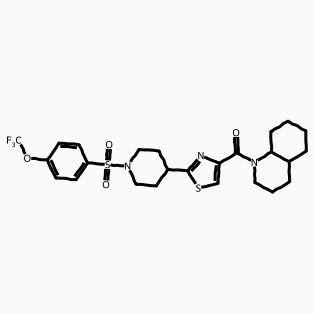 O=C(c1csc(C2CCN(S(=O)(=O)c3ccc(OC(F)(F)F)cc3)CC2)n1)N1CCCC2CCCCC21